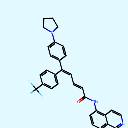 O=C(/C=C/C=C(/c1ccc(N2CCCC2)cc1)c1ccc(C(F)(F)F)cc1)Nc1cccc2cnccc12